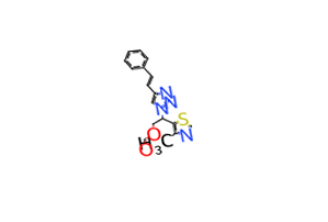 Cc1ncsc1C(COC=O)n1cc(C=Cc2ccccc2)nn1